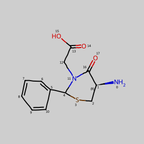 N[C@H]1CSC(c2ccccc2)N(CC(=O)O)C1=O